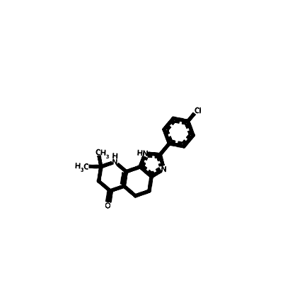 CC1(C)CC(=O)C2=C(N1)c1[nH]c(-c3ccc(Cl)cc3)nc1CC2